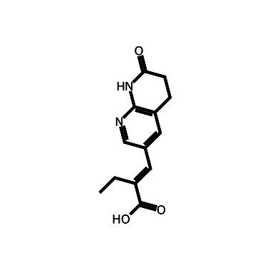 CC/C(=C\c1cnc2c(c1)CCC(=O)N2)C(=O)O